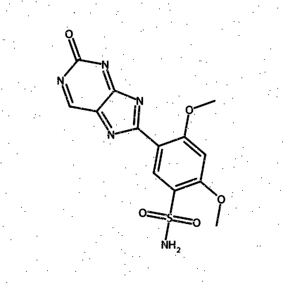 COc1cc(OC)c(S(N)(=O)=O)cc1C1=NC2=NC(=O)N=CC2=N1